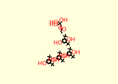 CC(C)(C)c1cc(O)cc(C(C)(C)C)c1O.CC(C)(C)c1cc(O)cc(C(C)(C)C)c1O.CC(C)(C)c1cc(O)cc(C(C)(C)C)c1O.CC(C)(C)c1cc(O)cc(C(C)(C)C)c1O.CCC(=O)OCC(CO)(CO)CO